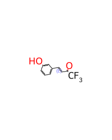 O=C(/C=C/c1cccc(O)c1)C(F)(F)F